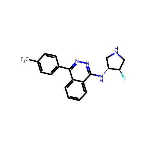 F[C@@H]1CNC[C@H]1Nc1nnc(-c2ccc(C(F)(F)F)cc2)c2ccccc12